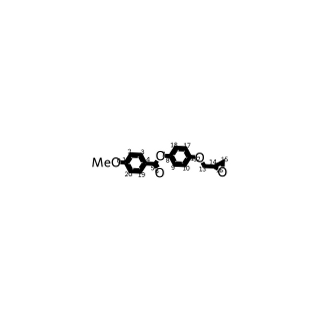 COc1ccc(C(=O)Oc2ccc(OCC3CO3)cc2)cc1